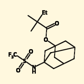 CCC(C)(C)C(=O)OC12CC3CC(CC(NS(=O)(=O)C(F)(F)F)(C3)C1)C2